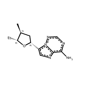 CC[C@H]1O[C@@H](c2cnc3c(N)ncnn23)C[C@@H]1C